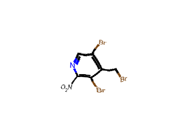 O=[N+]([O-])c1ncc(Br)c(CBr)c1Br